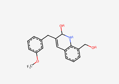 OCc1cccc2c1NC(O)C(Cc1cccc(OC(F)(F)F)c1)=C2